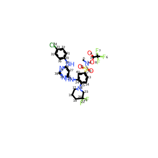 CN(OC(=O)C(F)(F)F)S(=O)(=O)c1ccc(N2CCCC(F)(F)C2)c(Nc2cc(Nc3ccc(Cl)cc3)ncn2)c1